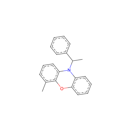 Cc1cccc2c1Oc1ccccc1N2C(C)c1ccccc1